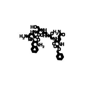 NC(=O)CCC(NC(=O)OCc1ccccc1)C(=O)NCC(=O)NCC(=O)NC(CO)C(=O)NC(CC(N)=O)C(=O)NC(Cc1ccccc1)C(N)=O